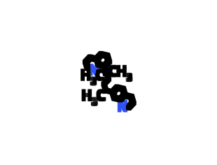 CC(CCC(C)(C)c1cccc2cccnc12)c1ccc2cccnc2c1